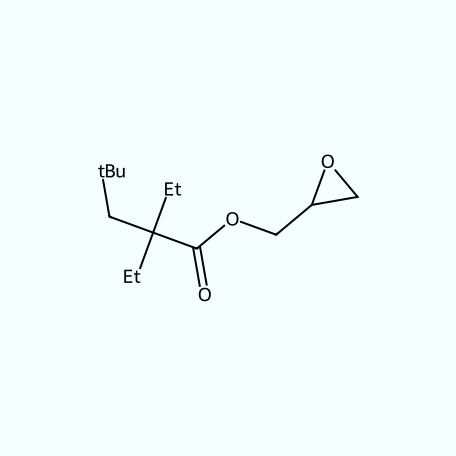 CCC(CC)(CC(C)(C)C)C(=O)OCC1CO1